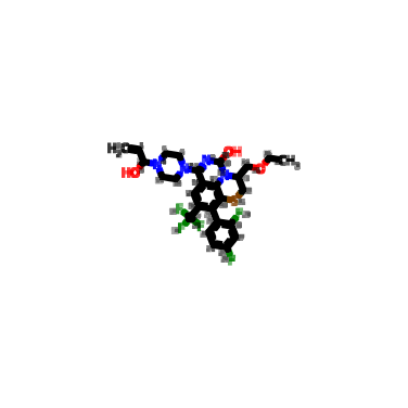 C=CC(O)N1CCN(C2=NC(O)N3c4c2cc(C(F)(F)F)c(-c2ccc(F)cc2F)c4SCC3COCC)CC1